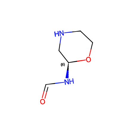 O=CN[C@H]1CNCCO1